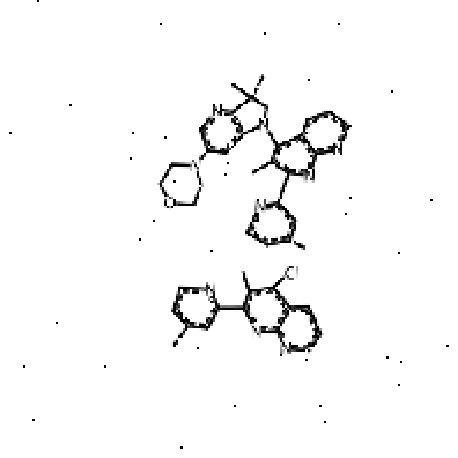 Cc1ccnc(-c2nc3ncccc3c(Cl)c2C)c1.Cc1ccnc(-c2nc3ncccc3c(N3CC(C)(C)c4ncc(N5CCOCC5)cc43)c2C)c1